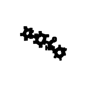 O=C(Nc1cccnc1)c1ccc(-c2cccs2)cc1